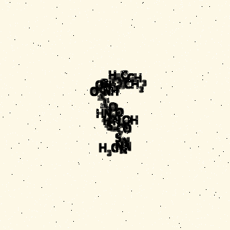 Cn1nnnc1SCC1=C(C(=O)O)N2C(=O)[C@@H](NC(=O)CCCC(NC(=O)c3ccc(C(C)(C)C)cc3)C(=O)O)[C@@H]2SC1